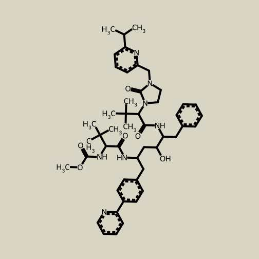 COC(=O)NC(C(=O)NC(Cc1ccc(-c2ccccn2)cc1)CC(O)C(Cc1ccccc1)NC(=O)C(N1CCN(Cc2cccc(C(C)C)n2)C1=O)C(C)(C)C)C(C)(C)C